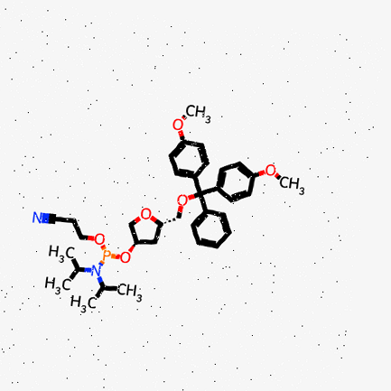 COc1ccc(C(OC[C@@H]2C[C@@H](OP(OCCC#N)N(C(C)C)C(C)C)CO2)(c2ccccc2)c2ccc(OC)cc2)cc1